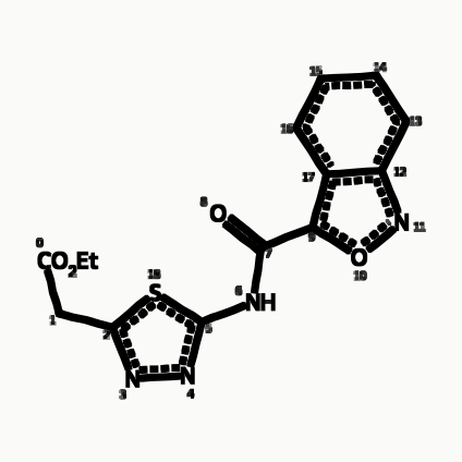 CCOC(=O)Cc1nnc(NC(=O)c2onc3ccccc23)s1